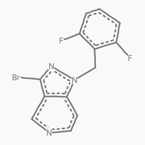 Fc1cccc(F)c1Cn1nc(Br)c2cnccc21